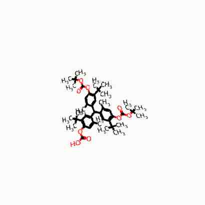 Cc1cc(OC(=O)O)c(C(C)(C)C)cc1C(c1cc(C(C)(C)C)c(OC(=O)OC(C)(C)C)cc1C)c1cc(C(C)(C)C)c(OC(=O)OC(C)(C)C)cc1C